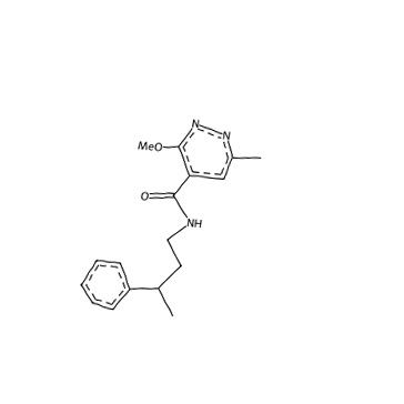 COc1nnc(C)cc1C(=O)NCCC(C)c1ccccc1